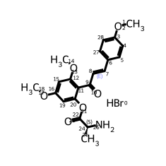 Br.COc1ccc(/C=C/C(=O)c2c(OC)cc(OC)cc2OC(=O)[C@H](C)N)cc1